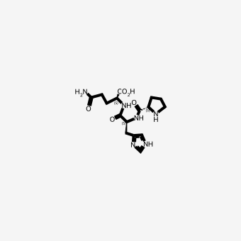 NC(=O)CC[C@H](NC(=O)[C@H](Cc1c[nH]cn1)NC(=O)[C@@H]1CCCN1)C(=O)O